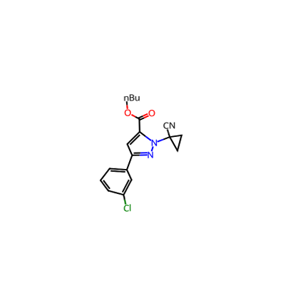 CCCCOC(=O)c1cc(-c2cccc(Cl)c2)nn1C1(C#N)CC1